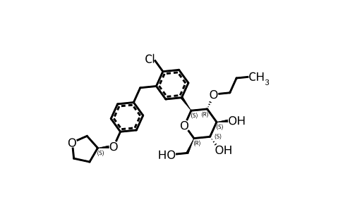 CCCO[C@@H]1[C@@H](O)[C@H](O)[C@@H](CO)O[C@H]1c1ccc(Cl)c(Cc2ccc(O[C@H]3CCOC3)cc2)c1